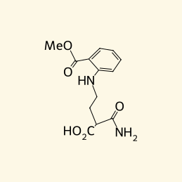 COC(=O)c1ccccc1NCCC(C(N)=O)C(=O)O